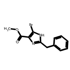 COC(=O)c1nc(Cc2ccccc2)[nH]c1Br